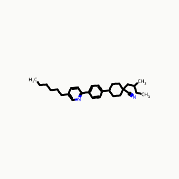 CCCCCCc1ccc(-c2ccc(C3CCC(C#N)(CC(C)CC)CC3)cc2)nc1